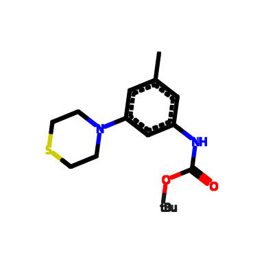 Cc1cc(NC(=O)OC(C)(C)C)cc(N2CCSCC2)c1